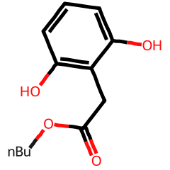 CCCCOC(=O)Cc1c(O)cccc1O